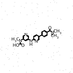 CN(C)C(=O)c1ccc(-c2ccc(Nc3cncc(N(C)C(=O)O)c3)nc2)cc1